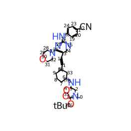 CN(CC(=O)N[C@H]1CCC[C@@H](C#Cc2cnc(Nc3ccc(C#N)cc3)nc2N2CCOCC2)C1)C(=O)OC(C)(C)C